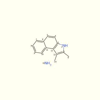 Cc1[nH]c2ccc3ccccc3c2c1C.N